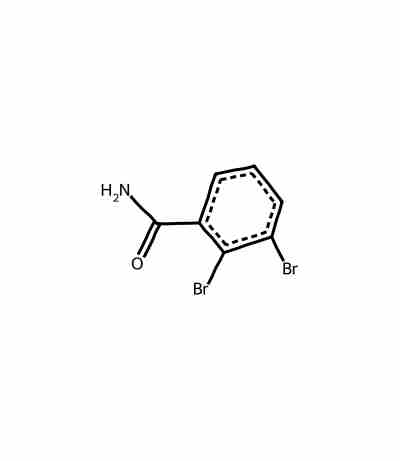 NC(=O)c1cccc(Br)c1Br